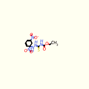 CCOC(=O)NC(=S)NNC1([N+](=O)[O-])C=CC=C([N+](=O)[O-])C1